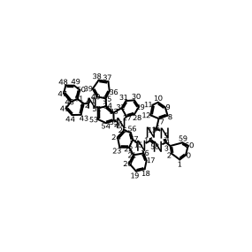 c1ccc(-c2nc(-c3ccccc3)nc(-n3c4ccccc4c4ccc(-n5c6ccccc6c6c7c8ccccc8n(-c8cccc9ccccc89)c7ccc65)cc43)n2)cc1